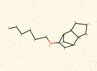 [CH2]CCCCCOC1CC2CC1C1CCCC21